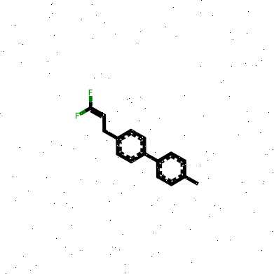 Cc1ccc(-c2ccc(CC=C(F)F)cc2)cc1